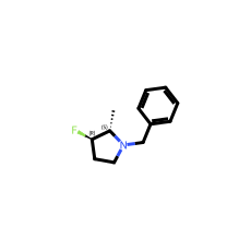 C[C@H]1[C@H](F)CCN1Cc1ccccc1